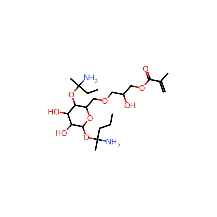 C=C(C)C(=O)OCC(O)COCC1OC(OC(C)(N)CCC)C(O)C(O)C1OC(C)(N)CC